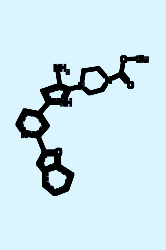 CC(C)(C)OC(=O)N1CCN(c2[nH]c(-c3ccnc(-c4cc5ccccc5o4)c3)cc2N)CC1